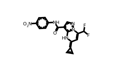 O=C(Nc1ccc([N+](=O)[O-])cc1)c1cnn2c1NC(=C1C=C1)C=C2C(F)F